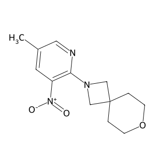 Cc1cnc(N2CC3(CCOCC3)C2)c([N+](=O)[O-])c1